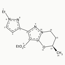 CCOC(=O)c1c(-c2ccn(CC)n2)nn2c1O[C@H](C)CC2